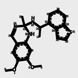 COc1cc2c(cc1OC)NC(C)(NC(C)c1cccc3sccc13)N=C2